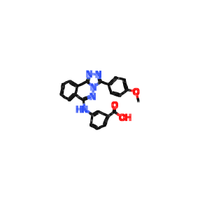 COc1ccc(-c2nnc3c4ccccc4c(Nc4cccc(C(=O)O)c4)nn23)cc1